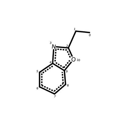 CCc1nc2[c]cccc2o1